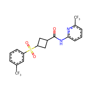 O=C(Nc1cccc(C(F)(F)F)n1)C1CC(S(=O)(=O)c2cccc(C(F)(F)F)c2)C1